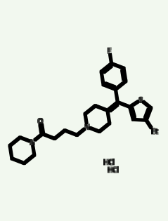 CCc1csc(C(=C2CCN(CCCC(=O)N3CCCCC3)CC2)c2ccc(F)cc2)c1.Cl.Cl